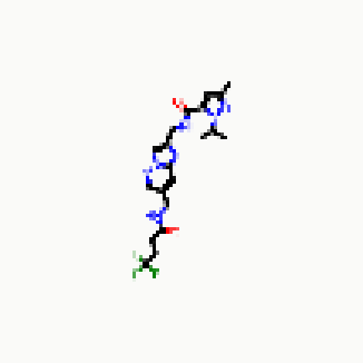 Cc1cc(C(=O)NCc2cn3ncc(CNC(=O)CCC(F)(F)F)cc3n2)n(C(C)C)n1